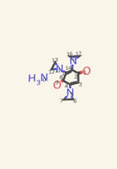 N.O=C1C=C(N2CC2)C(=O)C(N2CC2)=C1N1CC1